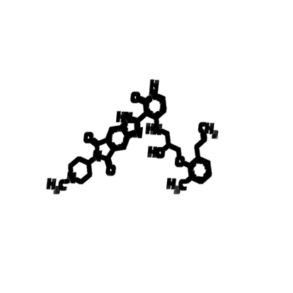 C=CCc1cccc(C)c1OCC(O)CNc1cc[nH]c(=O)c1-c1nc2cc3c(cc2[nH]1)C(=O)N(C1CCN(C)CC1)C3=O